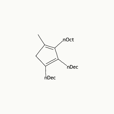 CCCCCCCCCCC1=C(CCCCCCCCCC)C(CCCCCCCC)=C(C)C1